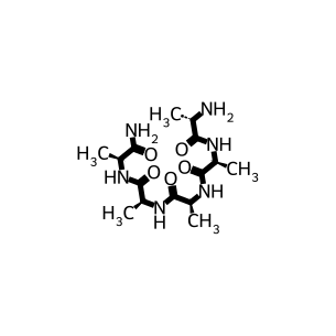 C[C@H](N)C(=O)N[C@@H](C)C(=O)N[C@@H](C)C(=O)N[C@@H](C)C(=O)N[C@@H](C)C(N)=O